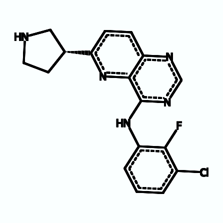 Fc1c(Cl)cccc1Nc1ncnc2ccc([C@@H]3CCNC3)nc12